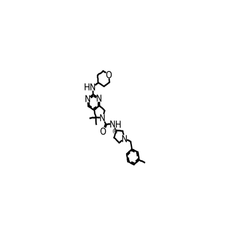 Cc1cccc(CN2CC[C@@H](NC(=O)N3Cc4nc(NC5CCOCC5)ncc4C3(C)C)C2)c1